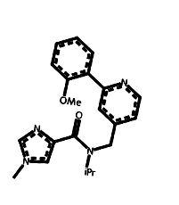 COc1ccccc1-c1cc(CN(C(=O)c2cn(C)cn2)C(C)C)ccn1